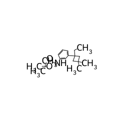 CCC1(c2cccc(NC(=O)OC(C)(C)C)c2)CC(C)(C)C1